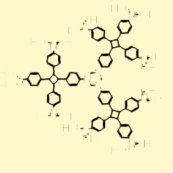 CN(C)c1ccc(C2C(c3ccc(N(C)C)cc3)C(c3ccc(N4CN(c5ccc(C6C(c7ccc(N(C)C)cc7)C(c7ccc(N(C)C)cc7)C6c6ccc(N(C)C)cc6)cc5)CN(c5ccc(C6C(c7ccc(N(C)C)cc7)C(c7ccc(N(C)C)cc7)C6c6ccc(N(C)C)cc6)cc5)C4)cc3)C2c2ccc(N(C)C)cc2)cc1